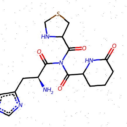 N[C@@H](Cc1c[nH]cn1)C(=O)N(C(=O)C1CSCN1)C(=O)C1CCCC(=O)N1